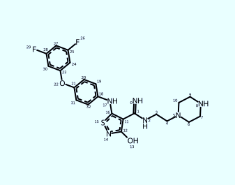 N=C(NCCN1CCNCC1)c1c(O)nsc1Nc1ccc(Oc2cc(F)cc(F)c2)cc1